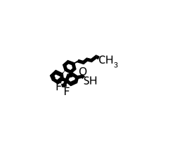 CCCCCC[C@H]1CC[C@H](c2ccccc2C2(C(F)F)C=CC(C(=O)S)C=C2)CC1